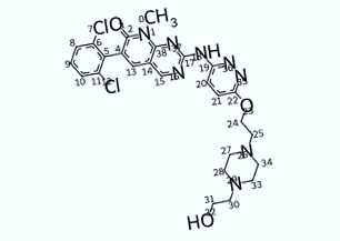 Cn1c(=O)c(-c2c(Cl)cccc2Cl)cc2cnc(Nc3ccc(OCCN4CCN(CCO)CC4)nn3)nc21